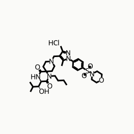 CCCCN1C(=O)[C@@H]([C@H](O)C(C)C)NC(=O)C12CCN(Cc1c(C)nn(-c3ccc(S(=O)(=O)N4CCOCC4)cc3)c1C)CC2.Cl